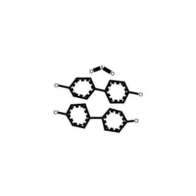 Clc1ccc(-c2ccc(Cl)cc2)cc1.Clc1ccc(-c2ccc(Cl)cc2)cc1.O=S=O